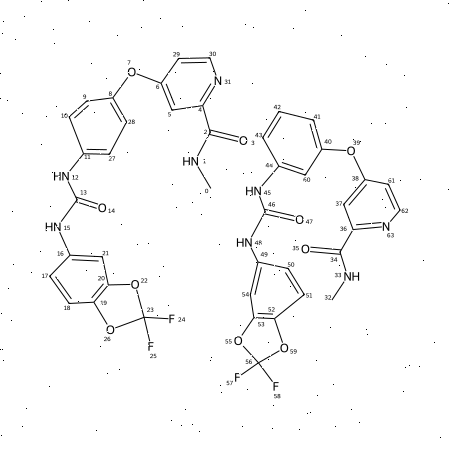 CNC(=O)c1cc(Oc2ccc(NC(=O)Nc3ccc4c(c3)OC(F)(F)O4)cc2)ccn1.CNC(=O)c1cc(Oc2cccc(NC(=O)Nc3ccc4c(c3)OC(F)(F)O4)c2)ccn1